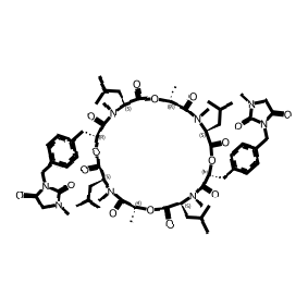 CC(C)C[C@H]1C(=O)O[C@H](Cc2ccc(CN3C(=O)CN(C)C3=O)cc2)C(=O)N(C)[C@@H](CC(C)C)C(=O)O[C@H](C)C(=O)N(C)[C@@H](CC(C)C)C(=O)O[C@H](Cc2ccc(CN3C(=O)CN(C)C3=O)cc2)C(=O)N(C)[C@@H](CC(C)C)C(=O)O[C@H](C)C(=O)N1C